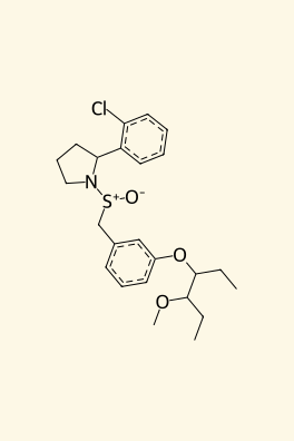 CCC(OC)C(CC)Oc1cccc(C[S+]([O-])N2CCCC2c2ccccc2Cl)c1